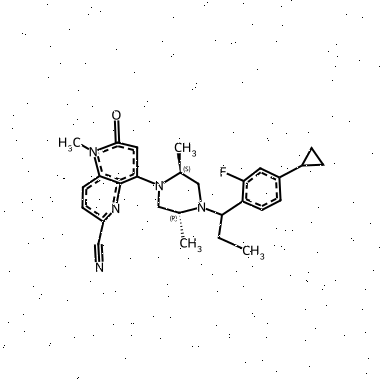 CCC(c1ccc(C2CC2)cc1F)N1C[C@H](C)N(c2cc(=O)n(C)c3ccc(C#N)nc23)C[C@H]1C